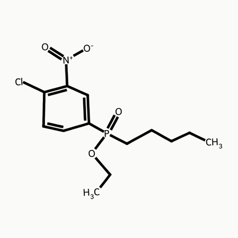 CCCCCP(=O)(OCC)c1ccc(Cl)c([N+](=O)[O-])c1